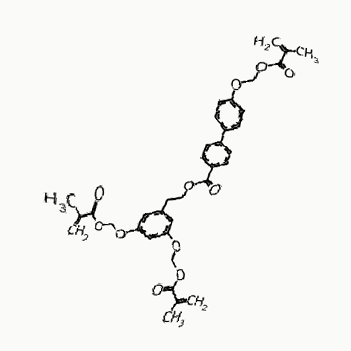 C=C(C)C(=O)OCOc1ccc(-c2ccc(C(=O)OCCc3cc(OCOC(=O)C(=C)C)cc(OCOC(=O)C(=C)C)c3)cc2)cc1